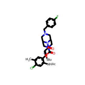 CC(=O)Nc1cc(Cl)c(C)cc1/C=C/C(=O)N1C2CN(Cc3ccc(F)cc3)CC1CN(C(=O)OC(C)(C)C)C2